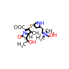 C[C@@H](O)[C@H]1C(=O)N2C(C(=O)[O-])=C(S[C@@H]3CN[C@@H](CC[N+](C)(C)CO)C3)[C@H](C)[C@H]12